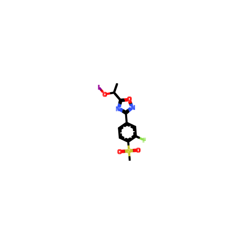 CC(OI)c1nc(-c2ccc(S(C)(=O)=O)c(F)c2)no1